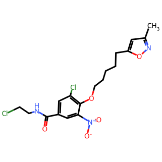 Cc1cc(CCCCCOc2c(Cl)cc(C(=O)NCCCl)cc2[N+](=O)[O-])on1